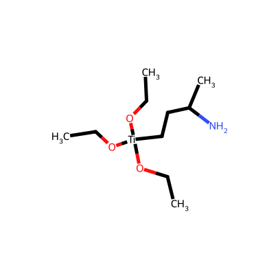 CC[O][Ti]([CH2]CC(C)N)([O]CC)[O]CC